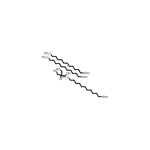 CCC(CO)(CO)CO.CCCCCCCCCCCCCCCCCCCCCC(=O)O.CCCCCCCCCCCCCCCCCCCCCC(=O)O.CCCCCCCCCCCCCCCCCCCCCC(=O)O